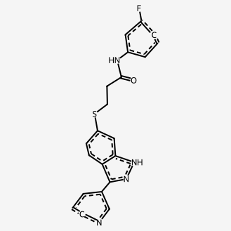 O=C(CCSc1ccc2c(-c3cccnc3)n[nH]c2c1)Nc1cccc(F)c1